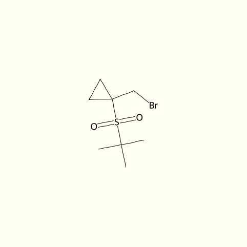 CC(C)(C)S(=O)(=O)C1(CBr)CC1